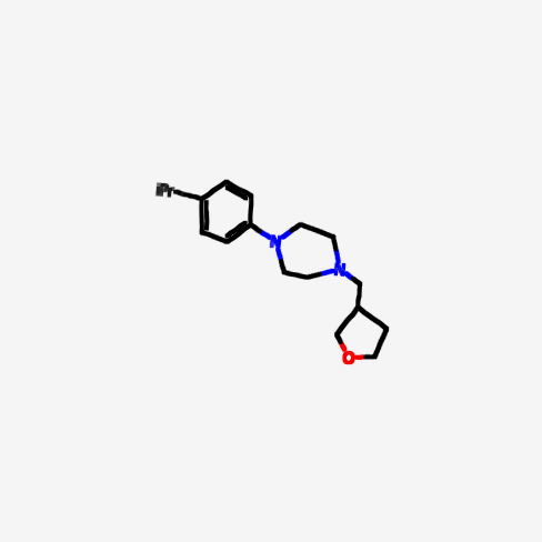 CC(C)c1ccc(N2CCN(CC3CCOC3)CC2)cc1